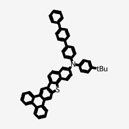 CC(C)(C)c1ccc(N(c2ccc(-c3ccc(-c4ccccc4)cc3)cc2)c2ccc3c(ccc4c5cc6c7ccccc7c7ccccc7c6cc5sc34)c2)cc1